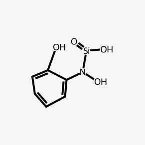 O=[Si](O)N(O)c1ccccc1O